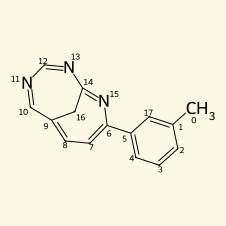 Cc1cccc(C2=CC=C3C=NC=NC(=N2)C3)c1